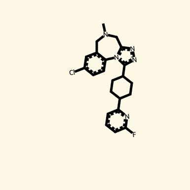 CN1Cc2cc(Cl)ccc2-n2c(nnc2C2CCC(c3cccc(F)n3)CC2)C1